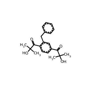 CC(C)(O)C(=O)c1ccc(C(=O)C(C)(C)O)c(Cc2ccccc2)c1